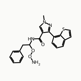 Cn1cc(C(=O)NC(Cc2ccccc2)OON)c(-c2cccc3ccsc23)n1